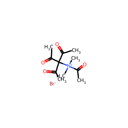 CC(=O)C(C(C)=O)(C(C)=O)[N+](C)(C)C(C)=O.[Br-]